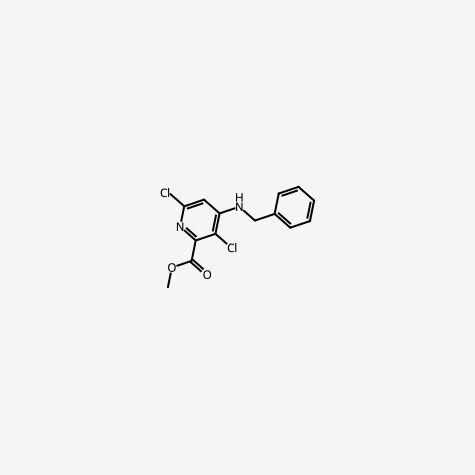 COC(=O)c1nc(Cl)cc(NCc2ccccc2)c1Cl